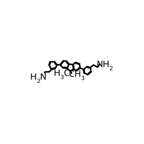 CC1(C)c2cc(-c3cccc(CCN)c3)ccc2-c2ccc(-c3cccc(CCN)c3)cc21